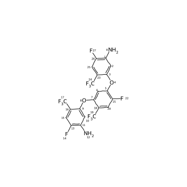 Nc1cc(Oc2cc(Oc3cc(N)c(F)cc3C(F)(F)F)c(C(F)(F)F)cc2F)c(C(F)(F)F)cc1F